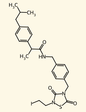 CC(C)Cc1ccc(C(C)C(=O)NCc2ccc(Cn3c(=O)sn(CCI)c3=O)cc2)cc1